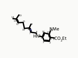 CCOC(=O)c1ccc(NC/C=C(\C)CCC=C(C)C)cc1NC